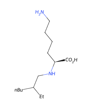 CCCCC(CC)CN[C@@H](CCCCN)C(=O)O